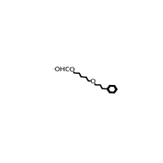 O=[C]OCCCCCOCCCc1ccccc1